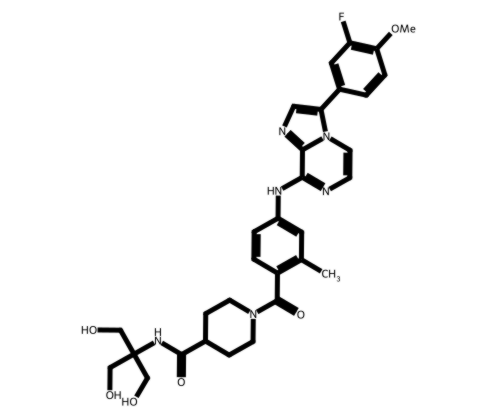 COc1ccc(-c2cnc3c(Nc4ccc(C(=O)N5CCC(C(=O)NC(CO)(CO)CO)CC5)c(C)c4)nccn23)cc1F